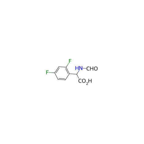 O=CNC(C(=O)O)c1ccc(F)cc1F